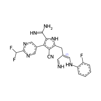 N#Cc1c(C/C(C=N)=C/Nc2ccccc2F)[nH]c(C(=N)N)c1-c1cnc(C(F)F)nc1